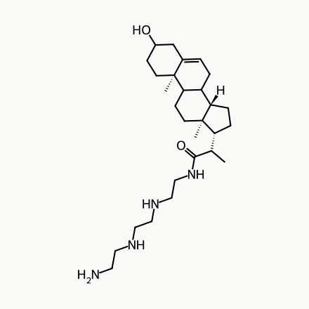 CC(C(=O)NCCNCCNCCN)[C@H]1CC[C@H]2C3CC=C4CC(O)CC[C@]4(C)C3CC[C@]12C